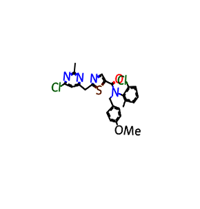 COc1ccc(CN(C(=O)c2cnc(Cc3cc(Cl)nc(C)n3)s2)c2c(C)cccc2Cl)cc1